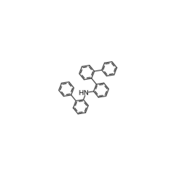 c1ccc(-c2ccccc2Nc2ccccc2-c2ccccc2-c2ccccc2)cc1